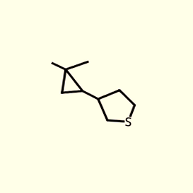 CC1(C)CC1C1CCSC1